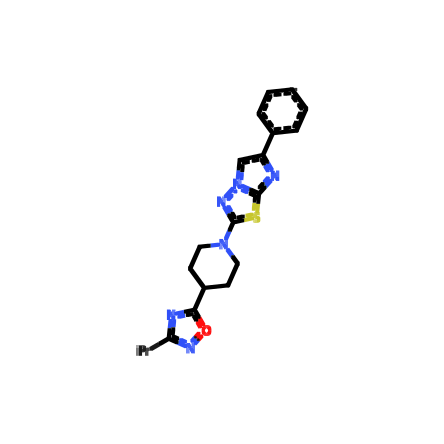 CC(C)c1noc(C2CCN(c3nn4cc(-c5cc[c]cc5)nc4s3)CC2)n1